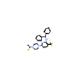 CC(F)N1CCN(c2ccc(C(F)(F)F)c(NC(c3ccccc3)c3ccccc3)c2)CC1